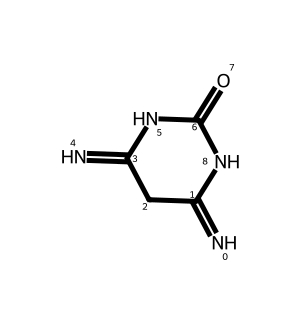 N=C1CC(=N)NC(=O)N1